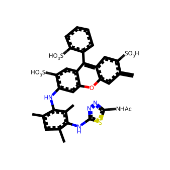 C=c1cc2c(cc1S(=O)(=O)O)=C(c1ccccc1S(=O)(=O)O)c1cc(S(=O)(=O)O)c(Nc3c(C)cc(C)c(Nc4nnc(NC(C)=O)s4)c3C)cc1O2